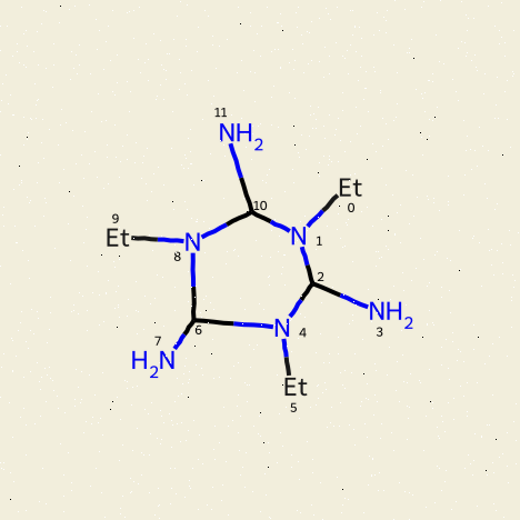 CCN1C(N)N(CC)C(N)N(CC)C1N